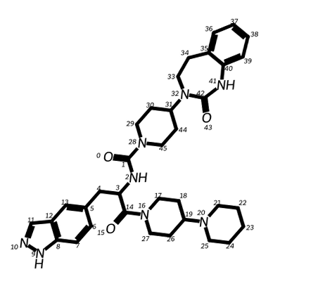 O=C(NC(Cc1ccc2[nH]ncc2c1)C(=O)N1CCC(N2CCCCC2)CC1)N1CCC(N2CCc3ccccc3NC2=O)CC1